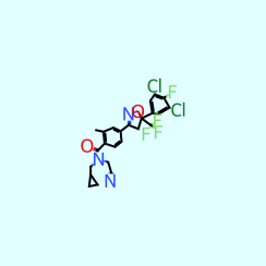 Cc1cc(C2=NOC(c3cc(Cl)c(F)c(Cl)c3)(C(F)(F)F)C2)ccc1C(=O)N(CC#N)CC1CC1